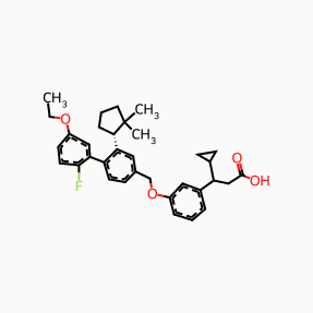 CCOc1ccc(F)c(-c2ccc(COc3cccc(C(CC(=O)O)C4CC4)c3)cc2[C@@H]2CCCC2(C)C)c1